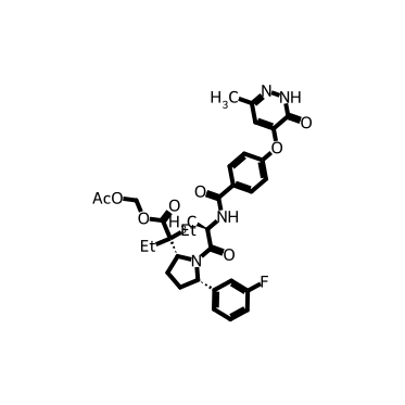 CCC(CC)(C(=O)OCOC(C)=O)[C@H]1CC[C@@H](c2cccc(F)c2)N1C(=O)[C@@H](C)NC(=O)c1ccc(Oc2cc(C)n[nH]c2=O)cc1